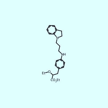 CCOC(=O)C(Cc1ccc(NCCCN2CCc3ccccc32)cc1)OCC